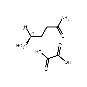 NC(=O)CC[C@H](N)C(=O)O.O=C(O)C(=O)O